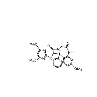 COc1ccc2c(c1)N(C)C(=O)CN1C(=O)C(Oc3nc(OC)cc(OC)n3)C21c1ccccc1